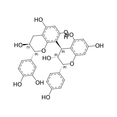 Oc1ccc([C@H]2Oc3cc(O)cc(O)c3[C@H](c3c(O)cc(O)c4c3O[C@H](c3ccc(O)c(O)c3)[C@@H](O)C4)[C@H]2O)cc1